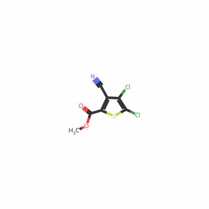 COC(=O)c1sc(Cl)c(Cl)c1C#N